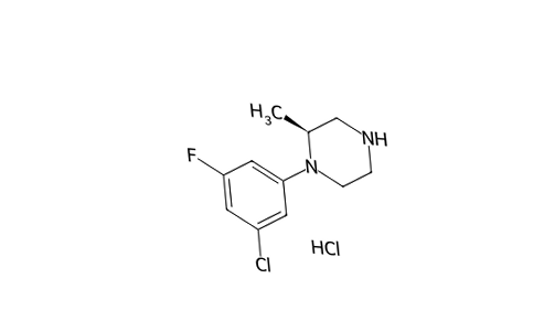 C[C@H]1CNCCN1c1cc(F)cc(Cl)c1.Cl